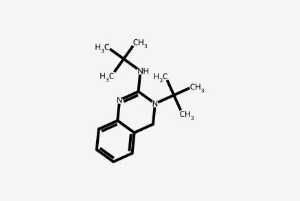 CC(C)(C)NC1=Nc2ccccc2CN1C(C)(C)C